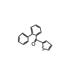 O=C(c1cccs1)c1ccccc1-c1ccccc1